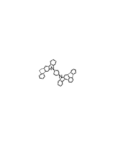 c1ccc2c(c1)CCc1cc3c4ccccc4n(-c4ccc(-n5c6ccccc6c6c7cccc8c7c(cc65)-c5ccccc5-8)cc4)c3cc1-2